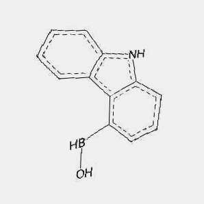 OBc1cccc2[nH]c3ccccc3c12